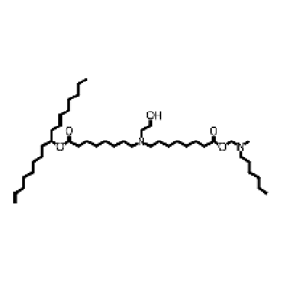 CCCCCCCCC(CCCCCCCC)OC(=O)CCCCCCCN(CCO)CCCCCCCC(=O)OCN(C)CCCCCC